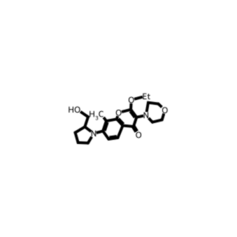 CCOc1oc2c(C)c(N3CCCC3CO)ccc2c(=O)c1N1CCOCC1